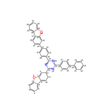 C1=c2oc3ccccc3c2=CCC1c1nc(-c2ccc(-c3ccccc3)cc2)nc(-c2ccc(-c3ccc4c(c3)oc3ccccc34)cc2)n1